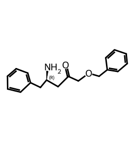 N[C@@H](CC(=O)COCc1ccccc1)Cc1ccccc1